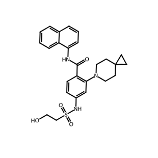 O=C(Nc1cccc2ccccc12)c1ccc(NS(=O)(=O)CCO)cc1N1CCC2(CC1)CC2